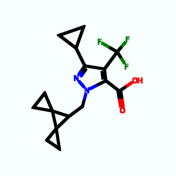 O=C(O)c1c(C(F)(F)F)c(C2CC2)nn1CC1C2(CC2)C12CC2